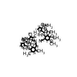 COc1cc(C#N)c(NC(=O)c2sccc2S(N)(=O)=O)c(OC)c1OC.Cc1cc(C)c(NC(=O)c2sccc2S(=O)(=O)Nc2onc(C)c2Cl)c(C)c1CC#N